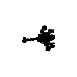 COC(=O)CCCCCCCCO[C@@H]1O[C@H](COCc2ccccc2)[C@@H](O[C@@H]2O[C@H](CO)[C@H](O)[C@H](O)[C@H]2O)[C@H](O[C@@H]2O[C@@H](C)[C@@H](OCc3ccccc3)[C@@H](OCc3ccccc3)[C@@H]2OCc2ccccc2)[C@H]1NC(C)=O